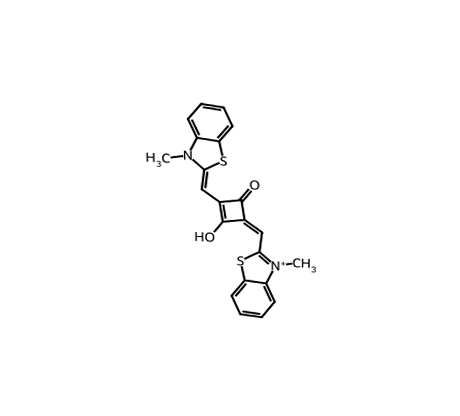 CN1/C(=C/C2=C(O)C(=C\c3sc4ccccc4[n+]3C)/C2=O)Sc2ccccc21